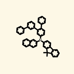 CC1(C)c2ccccc2-c2ccc(N(c3ccc(-c4ccccc4)c(-c4cccc(-c5ccccc5)c4)c3)c3ccc4ccccc4c3)cc21